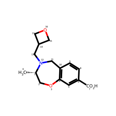 C[C@H]1COc2cc(C(=O)O)ccc2CN1CC1COC1